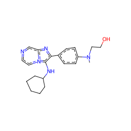 CN(CCO)c1ccc(-c2nc3cnccn3c2NC2CCCCC2)cc1